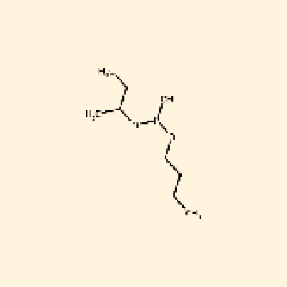 CCCCOP(O)OC(C)CC